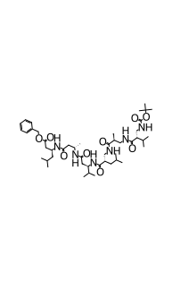 CC(C)C[C@@H](CC(=O)OCc1ccccc1)NC(=O)C[C@H](C)NC(=O)C[C@@H](NC(=O)[C@H](CNC(=O)[C@@H](C)CNC(=O)[C@H](CNC(=O)OC(C)(C)C)C(C)C)CC(C)C)C(C)C